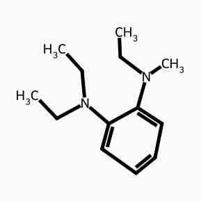 CCN(C)c1ccccc1N(CC)CC